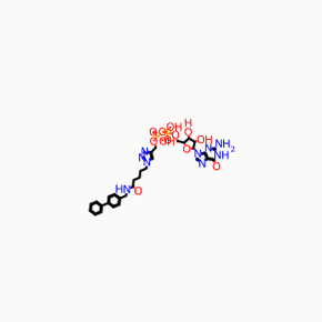 Nc1nc2c(ncn2C2OC(COP(=O)(O)OP(=O)(O)OCc3cn(CCCCC(=O)NCc4ccc(-c5ccccc5)cc4)nn3)C(O)C2O)c(=O)[nH]1